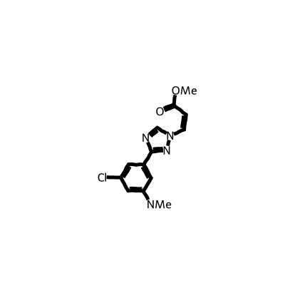 CNc1cc(Cl)cc(-c2ncn(/C=C\C(=O)OC)n2)c1